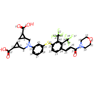 O=C(O)C1CC1CN(CC1CC1C(=O)O)c1cccc(Sc2ccc(/C=C/C(=O)N3CCOCC3)c(C(F)(F)F)c2C(F)(F)F)c1